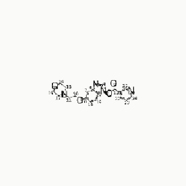 O=C(On1cnc2cc(OCCN3CCOCC3)ccc21)c1cccnc1